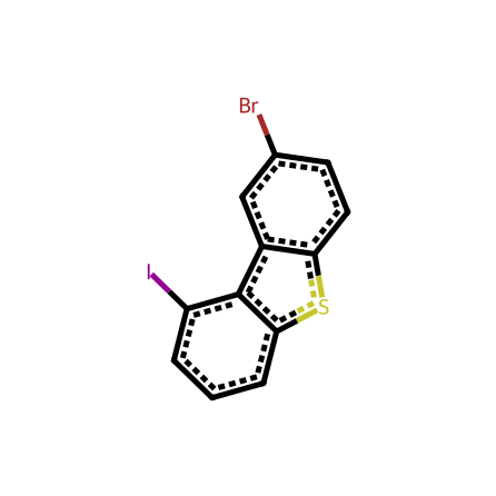 Brc1ccc2sc3cccc(I)c3c2c1